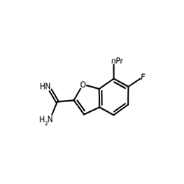 CCCc1c(F)ccc2cc(C(=N)N)oc12